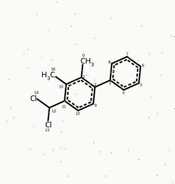 Cc1c(-c2ccccc2)ccc(C(Cl)Cl)c1C